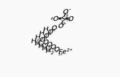 O.O.O.O.O.O.O.O.O=S(=O)([O-])[O-].[Fe+2]